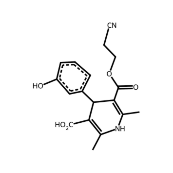 CC1=C(C(=O)O)C(c2cccc(O)c2)C(C(=O)OCCC#N)=C(C)N1